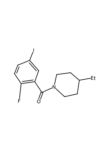 CCC1CCN(C(=O)c2cc(I)ccc2F)CC1